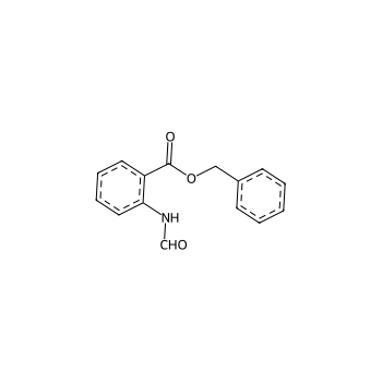 O=CNc1ccccc1C(=O)OCc1ccccc1